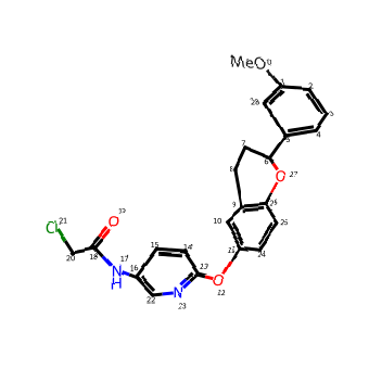 COc1cccc(C2CCc3cc(Oc4ccc(NC(=O)CCl)cn4)ccc3O2)c1